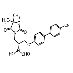 CC1(C)OC(=O)N(CC(COc2ccc(-c3ccc(C#N)cc3)cc2)N(O)C=O)C1=O